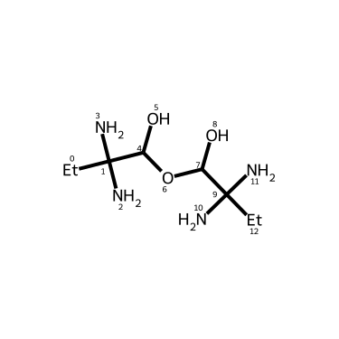 CCC(N)(N)C(O)OC(O)C(N)(N)CC